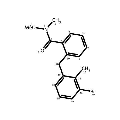 CON(C)C(=O)c1ccccc1Cc1cccc(Br)c1C